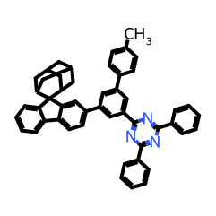 Cc1ccc(-c2cc(-c3ccc4c(c3)C3(c5ccccc5-4)C4CC5CC(C4)CC3C5)cc(-c3nc(-c4ccccc4)nc(-c4ccccc4)n3)c2)cc1